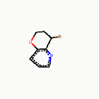 BrC1CCOc2cccnc21